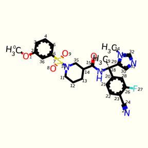 COc1cccc(S(=O)(=O)N2CCCC(C(=O)N[C@](C)(c3ccc(C#N)c(F)c3)c3cncn3C)C2)c1